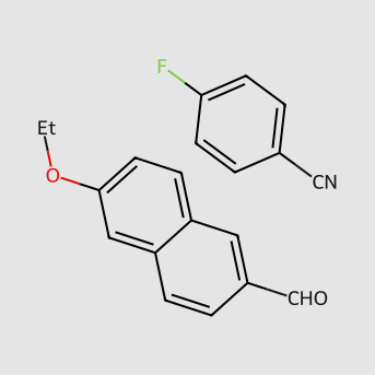 CCOc1ccc2cc(C=O)ccc2c1.N#Cc1ccc(F)cc1